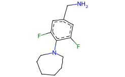 NCc1cc(F)c(N2CCCCCC2)c(F)c1